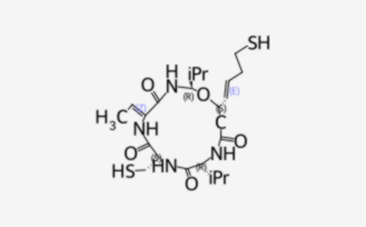 C/C=C1\NC(=O)[C@@H](CS)NC(=O)[C@@H](C(C)C)NC(=O)C[C@@H](/C=C/CCS)O[C@H](C(C)C)NC1=O